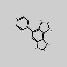 c1ccc(-c2cc3c(c4c2OCO4)OCO3)cc1